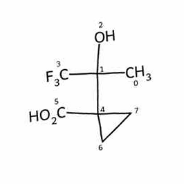 CC(O)(C(F)(F)F)C1(C(=O)O)CC1